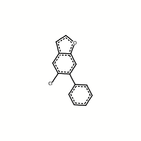 Clc1cc2ccoc2cc1-c1ccccc1